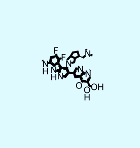 CNc1cc(F)c(F)c2c1[nH]c1ncc(-c3cnc4c(c3)c(=O)c(C(O)O)cn4C)c(N3CC4CC[C@@H](CN(C)C)C4C3)c12